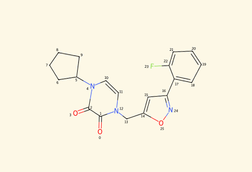 O=c1c(=O)n(C2CCCC2)ccn1Cc1cc(-c2ccccc2F)no1